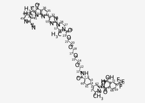 Cc1cc(-c2ccc(C(=O)NCCOCCOCCOCCOCC(=O)N3CCN(c4ncc(-c5ccc6c(n5)N(Cc5cccnc5C#N)C(C)(C)C6=O)cn4)C[C@H]3C)cc2)cc(NC(=O)c2ccc(C(F)(F)F)cc2C(=O)O)n1